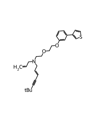 C=CCN(CC=CC#CC(C)(C)C)CCOCCOc1cccc(-c2ccsc2)c1